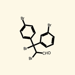 O=CC(Br)C(Br)(c1ccc(Br)cc1)c1cccc(Br)c1